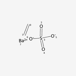 C=C.O=S(=O)([O-])[O-].[Ba+2]